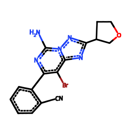 N#Cc1ccccc1-c1nc(N)n2nc(C3CCOC3)nc2c1Br